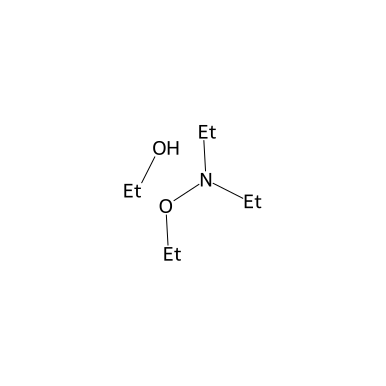 CCO.CCON(CC)CC